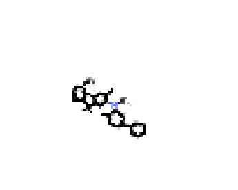 Cc1ccc(-c2ccccc2)cc1N(c1cc2c(cc1C)-c1c(C(C)C)cccc1C2(C)C)C(C)(C)C